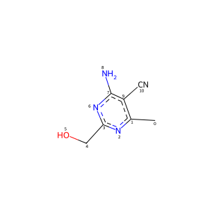 Cc1nc(CO)nc(N)c1C#N